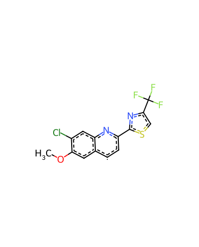 COc1cc2[c]cc(-c3nc(C(F)(F)F)cs3)nc2cc1Cl